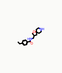 CCc1ccc(C(=O)NCC2COC3(CCNCC3)C2)cc1